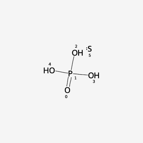 O=P(O)(O)O.[S]